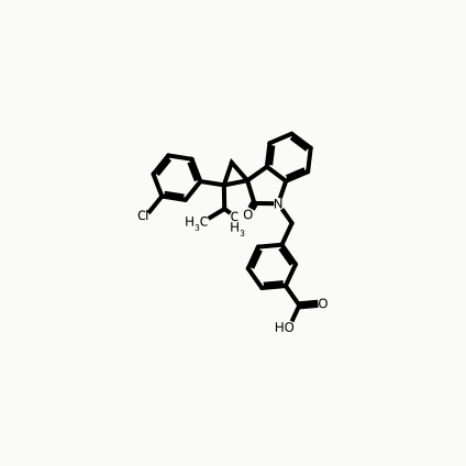 CC(C)C1(c2cccc(Cl)c2)CC12C(=O)N(Cc1cccc(C(=O)O)c1)c1ccccc12